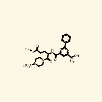 CCC[C@H](O)c1cc(C(=O)NC(CCC(=O)OC(C)(C)C)C(=O)N2CCN(C(=O)OCC)CC2)nc(-c2ccccc2)n1